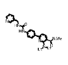 CCN(CC)c1nc(-c2ccc(NC(=O)NCc3cccnc3)cc2)ccc1C(=O)NC